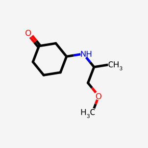 COCC(C)NC1CCCC(=O)C1